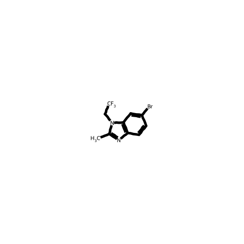 Cc1nc2ccc(Br)cc2n1CC(F)(F)F